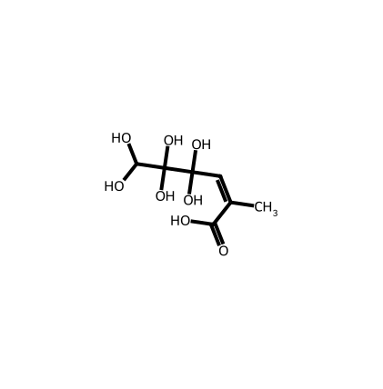 CC(=CC(O)(O)C(O)(O)C(O)O)C(=O)O